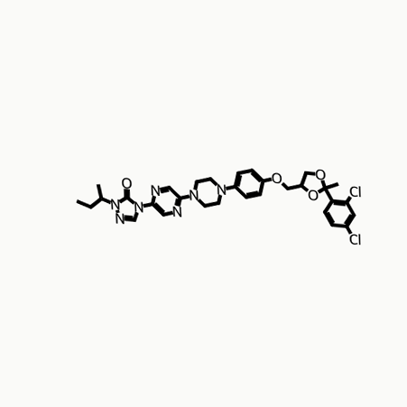 CCC(C)n1ncn(-c2cnc(N3CCN(c4ccc(OCC5COC(C)(c6ccc(Cl)cc6Cl)O5)cc4)CC3)cn2)c1=O